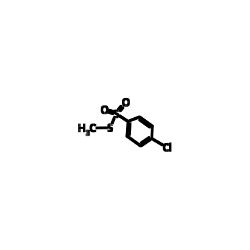 CSS(=O)(=O)c1ccc(Cl)cc1